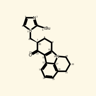 CC(C)(C)c1nccn1C[C@H]1CCc2c(c3cccc4c3n2CCC4)C1=O